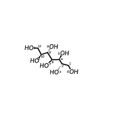 OC[C@H](O)[C@H](O)C(O)[C@@H](O)[C@@H](O)CO